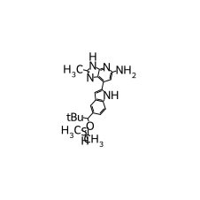 Cc1nc2c(-c3cc4cc(C(O[SiH](C)C)C(C)(C)C)ccc4[nH]3)cc(N)nc2[nH]1